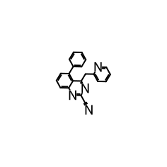 N#Cc1nc(Cc2ccccn2)c2c(-c3ccccc3)cccc2n1